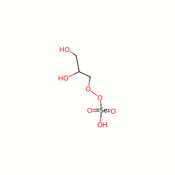 O=[Se](=O)(O)OOCC(O)CO